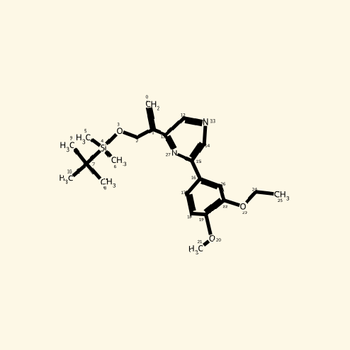 C=C(CO[Si](C)(C)C(C)(C)C)c1cncc(-c2ccc(OC)c(OCC)c2)n1